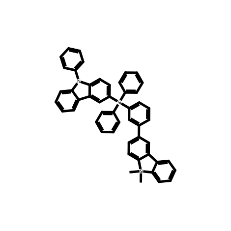 C[Si]1(C)c2ccccc2-c2cc(-c3cccc([Si](c4ccccc4)(c4ccccc4)c4ccc5c(c4)c4ccccc4n5-c4ccccc4)c3)ccc21